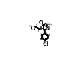 COCCn1c(-c2ccc(Cl)cc2)n[nH]c1=O